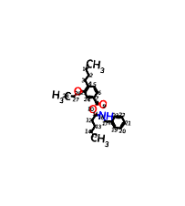 CCCCc1ccc(C(=O)OC(CCCC)NCc2ccccc2)cc1OCC